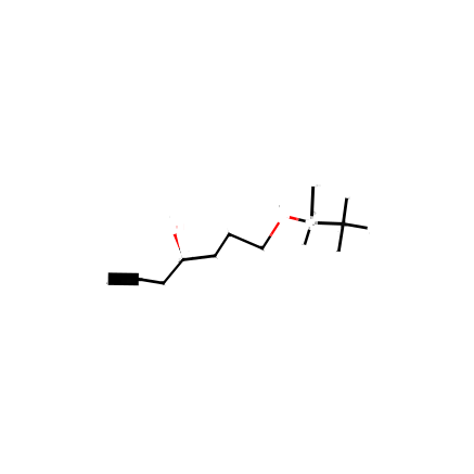 C#CC[C@@H](O)CCCO[Si](C)(C)C(C)(C)C